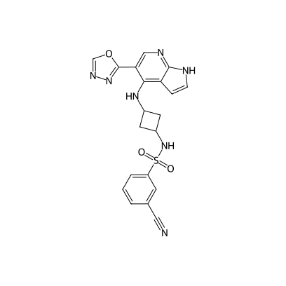 N#Cc1cccc(S(=O)(=O)NC2CC(Nc3c(-c4nnco4)cnc4[nH]ccc34)C2)c1